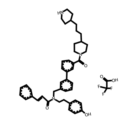 O=C(/C=C/c1ccccc1)N(CCc1ccc(O)cc1)Cc1cccc(-c2cccc(C(=O)N3CCC(CCCC4CCNCC4)CC3)c2)c1.O=C(O)C(F)(F)F